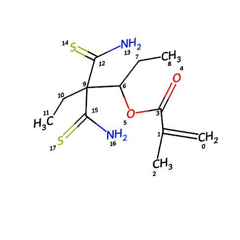 C=C(C)C(=O)OC(CC)C(CC)(C(N)=S)C(N)=S